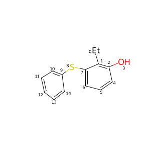 CCc1c(O)cccc1Sc1ccccc1